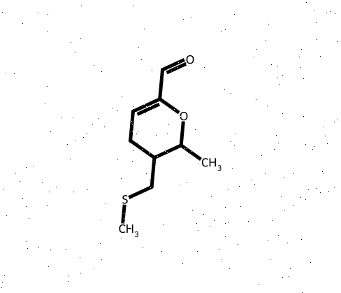 CSCC1CC=C(C=O)OC1C